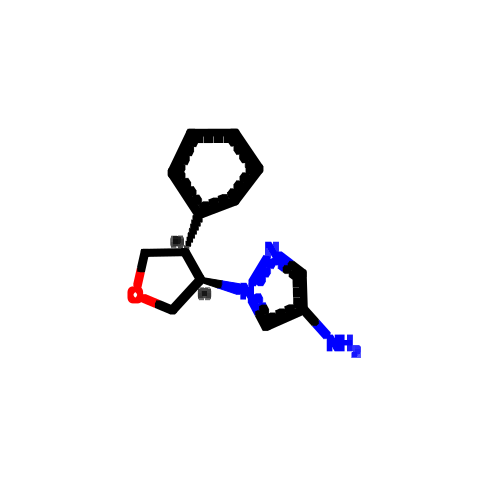 Nc1cnn([C@H]2COC[C@@H]2c2ccccc2)c1